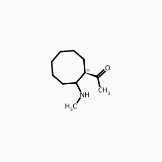 CNC1CCCCCC[C@H]1C(C)=O